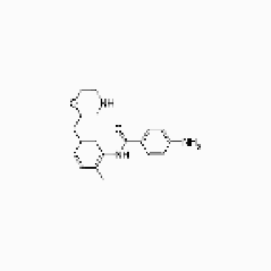 Cc1ccc(CC2CNCCO2)cc1NC(=O)c1ccc(N)cc1